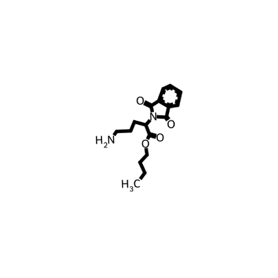 CCCCOC(=O)C(CCCN)N1C(=O)c2ccccc2C1=O